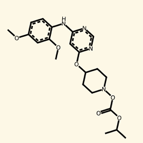 COc1ccc(Nc2cc(OC3CCN(OC(=O)OC(C)C)CC3)ncn2)c(OC)c1